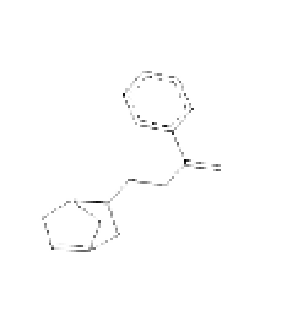 C=C(CCC1CC2=CCC1C2)c1ccccc1